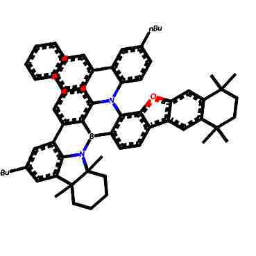 CCCCc1ccc(N2c3cc(-c4ccccc4)cc4c3B(c3ccc5c(oc6cc7c(cc65)C(C)(C)CCC7(C)C)c32)N2c3c-4cc(CCCC)cc3C3(C)CCCCC23C)c(-c2ccccc2)c1